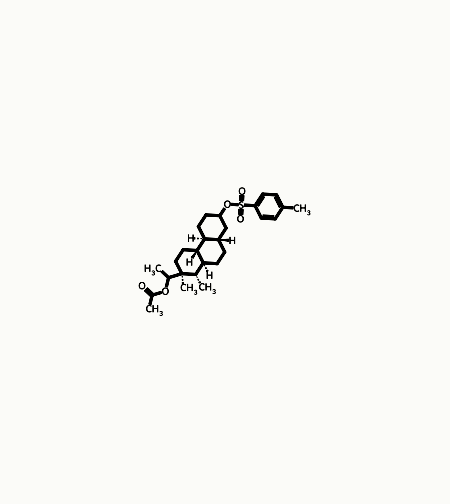 CC(=O)OC(C)[C@@]1(C)CC[C@H]2[C@@H](CC[C@H]3CC(OS(=O)(=O)c4ccc(C)cc4)CC[C@@H]32)[C@@H]1C